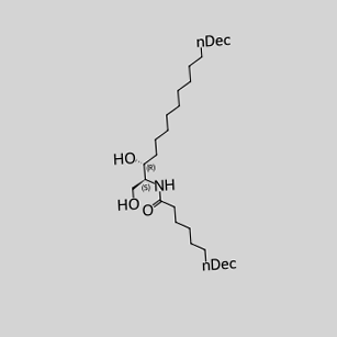 CCCCCCCCCCCCCCCCCCC[C@@H](O)[C@H](CO)NC(=O)CCCCCCCCCCCCCCC